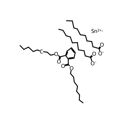 CCCCCCCCCC(=O)[O-].CCCCCCCCCC(=O)[O-].CCCCCCCCOC(=O)c1ccccc1C(=O)OCCCCCCCC.[Sn+2]